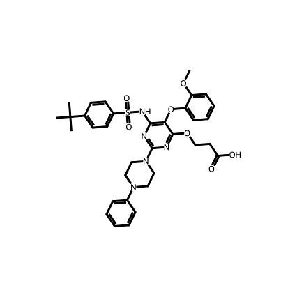 COc1ccccc1Oc1c(NS(=O)(=O)c2ccc(C(C)(C)C)cc2)nc(N2CCN(c3ccccc3)CC2)nc1OCCC(=O)O